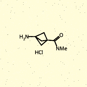 CNC(=O)C12CC(N)(C1)C2.Cl